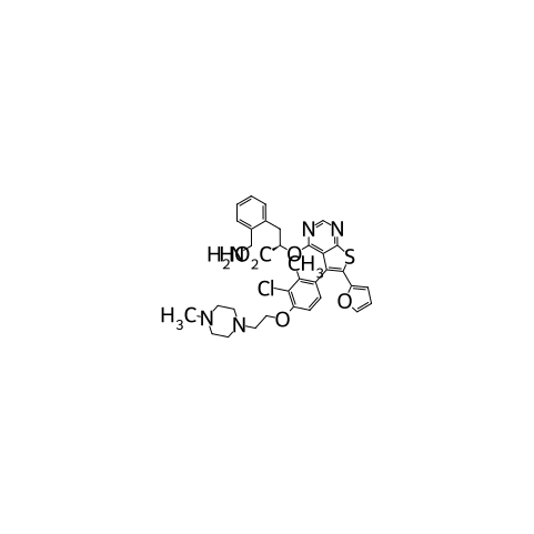 Cc1c(-c2c(-c3ccco3)sc3ncnc(O[C@H](Cc4ccccc4CN)C(=O)O)c23)ccc(OCCN2CCN(C)CC2)c1Cl